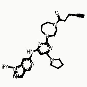 C#CCCC(=O)N1CCCN(c2nc(Nc3cc4c(cn3)cnn4C(C)C)cc(N3CCCC3)n2)CC1